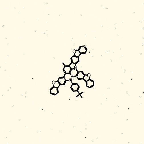 Cc1cc2c3c4c1c1cc5oc6ccccc6c5cc1n4-c1cc4oc5ccccc5c4cc1B3N(c1ccc(C(C)(C)C)cc1)c1cc3c(cc1-2)oc1ccccc13